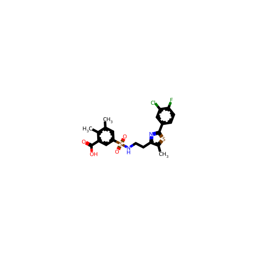 Cc1cc(S(=O)(=O)NCCc2nc(-c3ccc(F)c(Cl)c3)sc2C)cc(C(=O)O)c1C